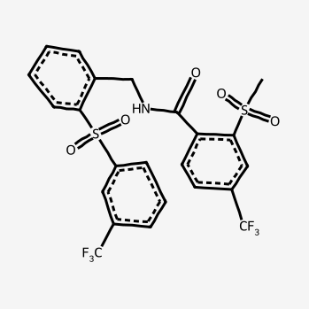 CS(=O)(=O)c1cc(C(F)(F)F)ccc1C(=O)NCc1ccccc1S(=O)(=O)c1cccc(C(F)(F)F)c1